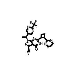 CC(c1cnc(C(F)(F)F)nc1)n1nc(C#N)c2c(=O)[nH]c(C3CCC3c3ncccn3)nc21